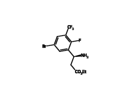 CCOC(=O)C[C@H](N)c1cc(Br)cc(C(F)(F)F)c1F